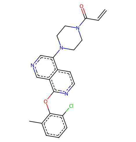 C=CC(=O)N1CCN(c2cncc3c(Oc4c(C)cccc4Cl)nccc23)CC1